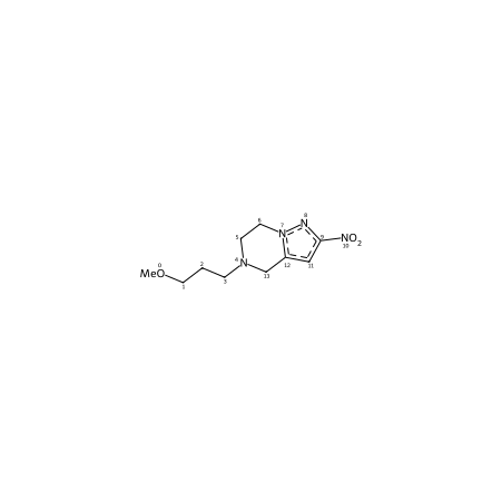 COCCCN1CCn2nc([N+](=O)[O-])cc2C1